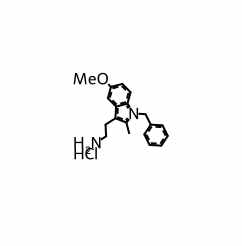 COc1ccc2c(c1)c(CCN)c(C)n2Cc1ccccc1.Cl